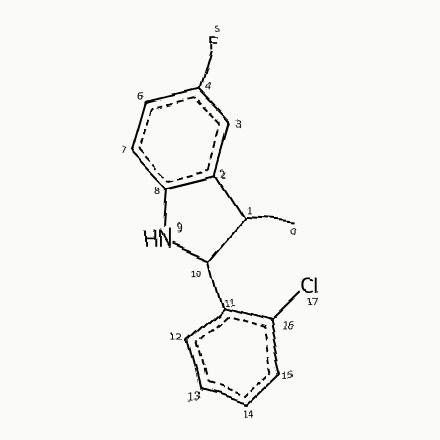 CC1c2cc(F)ccc2NC1c1ccccc1Cl